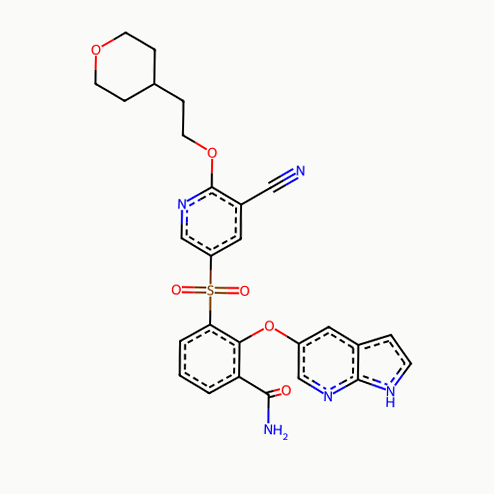 N#Cc1cc(S(=O)(=O)c2cccc(C(N)=O)c2Oc2cnc3[nH]ccc3c2)cnc1OCCC1CCOCC1